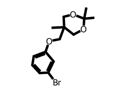 CC1(COc2cccc(Br)c2)COC(C)(C)OC1